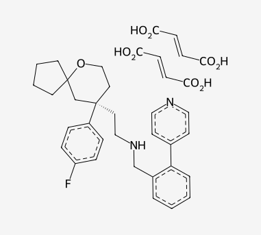 Fc1ccc([C@]2(CCNCc3ccccc3-c3ccncc3)CCOC3(CCCC3)C2)cc1.O=C(O)/C=C/C(=O)O.O=C(O)/C=C/C(=O)O